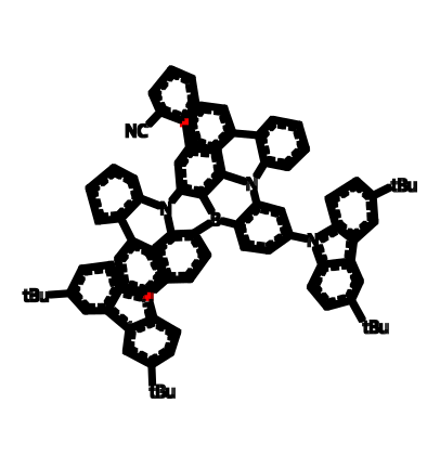 CC(C)(C)c1ccc2c(c1)c1cc(C(C)(C)C)ccc1n2-c1ccc2c(c1)N(c1ccccc1-c1ccccc1)c1cc(-c3ccccc3C#N)cc3c1B2c1ccc(-n2c4ccc(C(C)(C)C)cc4c4cc(C(C)(C)C)ccc42)cc1N3c1ccccc1-c1ccccc1